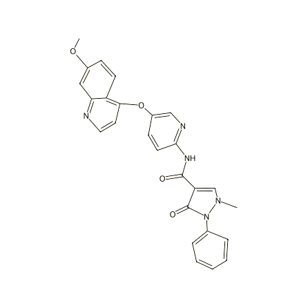 COc1ccc2c(Oc3ccc(NC(=O)c4cn(C)n(-c5ccccc5)c4=O)nc3)ccnc2c1